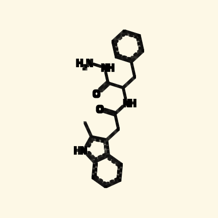 Cc1[nH]c2ccccc2c1CC(=O)NC(Cc1ccccc1)C(=O)NN